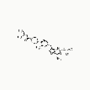 CCC(CC)Oc1nc(N)c2ncc(Cc3cnc(N4CCN(C(=O)CN(C)C)CC4)c(C)c3)n2n1